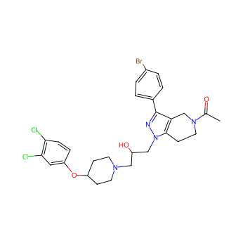 CC(=O)N1CCc2c(c(-c3ccc(Br)cc3)nn2CC(O)CN2CCC(Oc3ccc(Cl)c(Cl)c3)CC2)C1